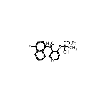 CCOC(=O)C(C)(C)Sc1ccncc1C(C)c1ccc(F)c2ccccc12